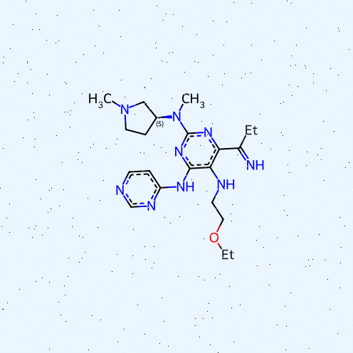 CCOCCNc1c(Nc2ccncn2)nc(N(C)[C@H]2CCN(C)C2)nc1C(=N)CC